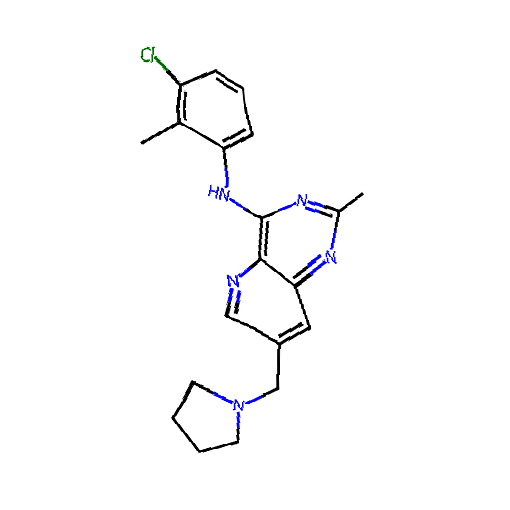 Cc1nc(Nc2cccc(Cl)c2C)c2ncc(CN3CCCC3)cc2n1